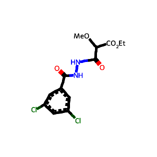 CCOC(=O)C(OC)C(=O)NNC(=O)c1cc(Cl)cc(Cl)c1